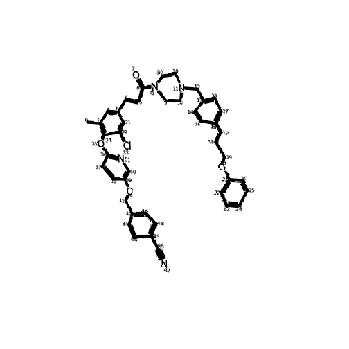 Cc1cc(/C=C/C(=O)N2CCN(Cc3ccc(CCCOc4ccccc4)cc3)CC2)cc(Cl)c1Oc1ccc(OCc2ccc(C#N)cc2)cn1